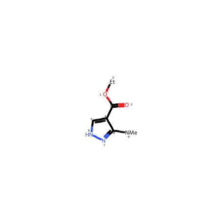 CCOC(=O)c1c[nH]nc1NC